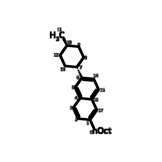 CCCCCCCCc1ccc2cc([C@H]3CC[C@H](C)CC3)ccc2c1